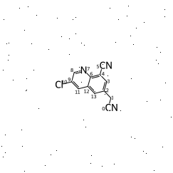 N#CCc1cc(C#N)c2ncc(Cl)cc2c1